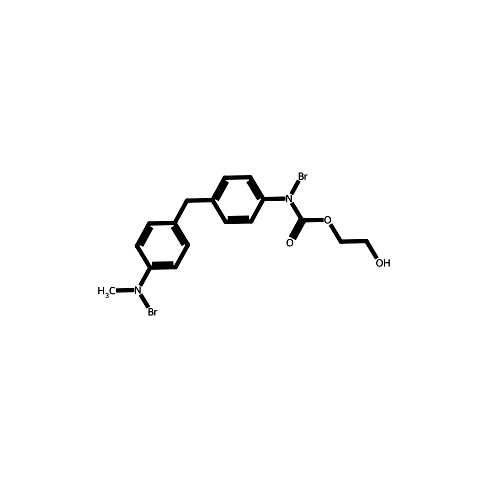 CN(Br)c1ccc(Cc2ccc(N(Br)C(=O)OCCO)cc2)cc1